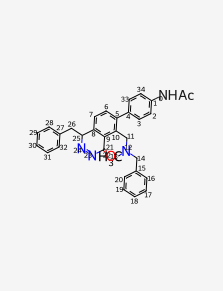 CC(=O)Nc1ccc(-c2ccc3c(c2CN(C)Cc2ccccc2)C(=O)N=NC3Cc2ccccc2)cc1